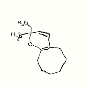 BC1(B)C=CC2=C(CCCCCC2)O1